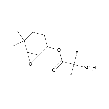 CC1(C)CCC(OC(=O)C(F)(F)S(=O)(=O)O)C2OC21